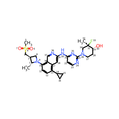 C[C@@H]1[C@@H](CS(C)(=O)=O)CN1c1ccc(C2CC2)c2cc(Nc3ccnc(N4CC[C@@H](O)[C@@](C)(F)C4)n3)ncc12